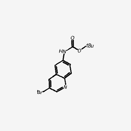 CC(C)(C)OC(=O)Nc1ccc2ncc(Br)cc2c1